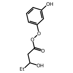 CCC(O)CC(=O)OOc1cccc(O)c1